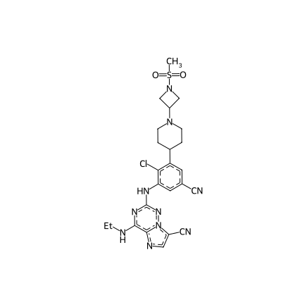 CCNc1nc(Nc2cc(C#N)cc(C3CCN(C4CN(S(C)(=O)=O)C4)CC3)c2Cl)nn2c(C#N)cnc12